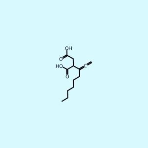 C=C=C(CCCCCC)C(CC(=O)O)C(=O)O